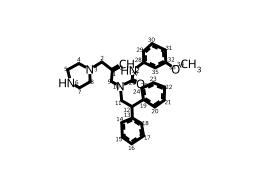 C=C(CN1CCNCC1)CN(CC(c1ccccc1)c1ccccc1)C(=O)Nc1cccc(OC)c1